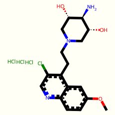 COc1ccc2ncc(Cl)c(CCN3C[C@@H](O)[C@H](N)[C@@H](O)C3)c2c1.Cl.Cl.Cl